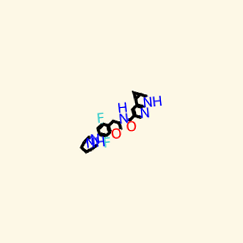 O=C(N[C@H]1COc2c(F)c(N3CC4CCC(C3)N4)cc(F)c2C1)c1cnc2c(c1)C1CC1CN2